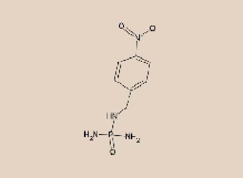 NP(N)(=O)NCc1ccc([N+](=O)[O-])cc1